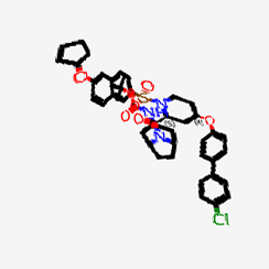 CC(C)(C)OC(=O)NC1CC2CCC(C1)N2C(=O)[C@@H]1C[C@H](Oc2ccc(-c3ccc(Cl)cc3)cc2)CCN1S(=O)(=O)c1ccc2cc(OC3CCCC3)ccc2c1